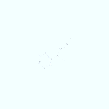 CC(NC=O)c1cncnc1